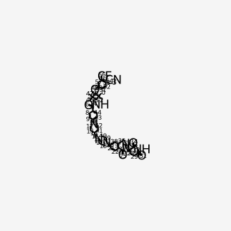 CC1(C)[C@H](NC(=O)c2ccc(N3CCC(CN4CCN(c5ccc6c(=O)n([C@@H]7CCC(=O)NC7=O)ncc6c5)CC4)CC3)cc2)C(C)(C)[C@H]1Oc1ccc(C#N)c(C(F)(F)F)c1